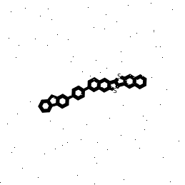 c1ccc2c(c1)Cc1cc(-c3ccc(-c4ccc5cc6c(cc5c4)sc4c5cc7ccccc7cc5sc64)cc3)ccc1-2